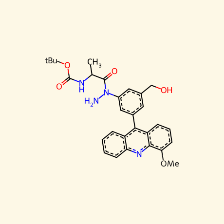 COc1cccc2c(-c3cc(CO)cc(N(N)C(=O)C(C)NC(=O)OC(C)(C)C)c3)c3ccccc3nc12